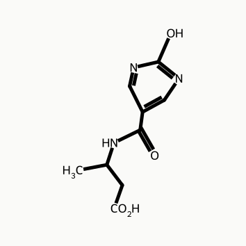 CC(CC(=O)O)NC(=O)c1cnc(O)nc1